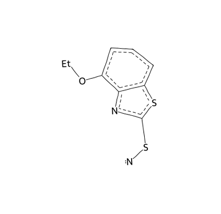 CCOc1cccc2sc(S[N])nc12